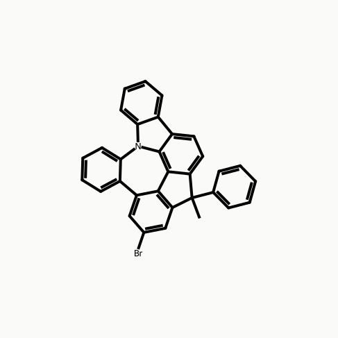 CC1(c2ccccc2)c2cc(Br)cc3c2-c2c1ccc1c4ccccc4n(c21)-c1ccccc1-3